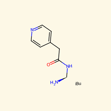 CC[C@H](C)[C@@H](N)NC(=O)Cc1ccncc1